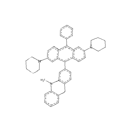 CN1c2ccccc2Cc2ccc(-c3c4ccc(N5CCCCC5)cc4c(-c4ccccc4)c4ccc(N5CCCCC5)cc34)cc21